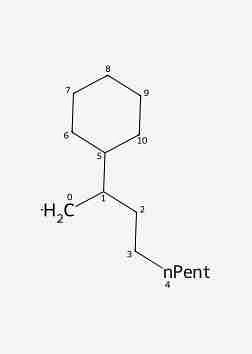 [CH2]C(CCCCCCC)C1CCCCC1